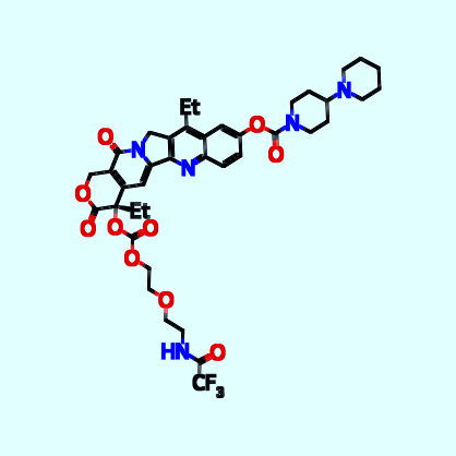 CCc1c2c(nc3ccc(OC(=O)N4CCC(N5CCCCC5)CC4)cc13)-c1cc3c(c(=O)n1C2)COC(=O)[C@@]3(CC)OC(=O)OCCOCCNC(=O)C(F)(F)F